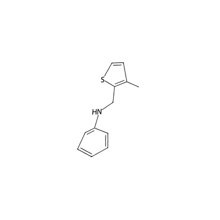 Cc1ccsc1CNc1ccccc1